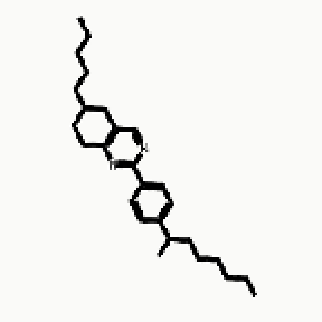 CCCCCCC(C)c1ccc(-c2ncc3c(n2)CCC(CCCCC)C3)cc1